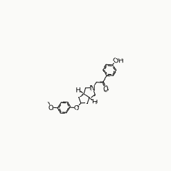 COc1ccc(OC2C[C@@H]3CN(CC(=O)c4ccc(O)cc4)C[C@@H]3C2)cc1